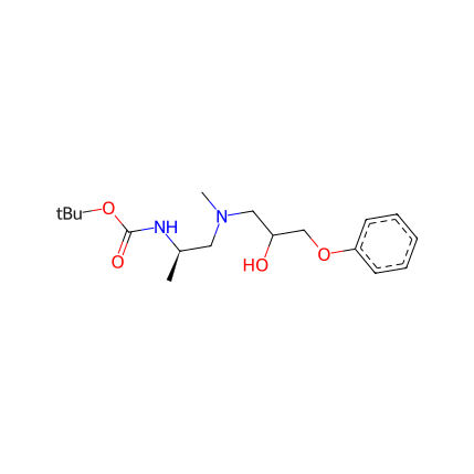 C[C@H](CN(C)CC(O)COc1ccccc1)NC(=O)OC(C)(C)C